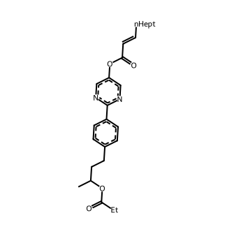 CCCCCCCC=CC(=O)Oc1cnc(-c2ccc(CCC(C)OC(=O)CC)cc2)nc1